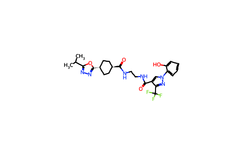 CC(C)c1nnc([C@H]2CC[C@H](C(=O)NCCNC(=O)c3cn(-c4ccccc4O)nc3C(F)(F)F)CC2)o1